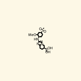 COc1cc(S(C)(=O)=O)ccc1Nc1nc2ccc(B(O)O)cn2n1